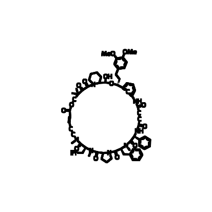 COc1ccc(CC[C@H]2OC(O)C3CCCCN3C(=O)C(=O)C(C)(C)COC(=O)/C=C/CCN(C)C(=O)[C@H](CC(C)C)N(C)C(=O)C3CCCN3C(=O)[C@H](Cc3ccccc3)N(C)C(=O)[C@H](c3ccccc3)NC(=O)CCC(=O)Nc3cccc2c3)cc1OC